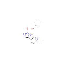 OC(CC1c2nc(C(F)(F)F)ccc2-c2cncn21)C1CCCCC1